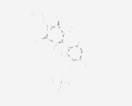 CCn1c(=O)c(F)c(-c2cc(SCC(F)(F)F)c(C)cc2F)n(C)c1=O